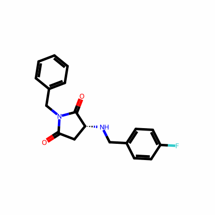 O=C1C[C@@H](NCc2ccc(F)cc2)C(=O)N1Cc1ccccc1